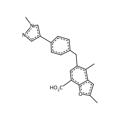 Cc1cc2c(C)c(Cc3ccc(-c4cnn(C)c4)cc3)cc(C(=O)O)c2o1